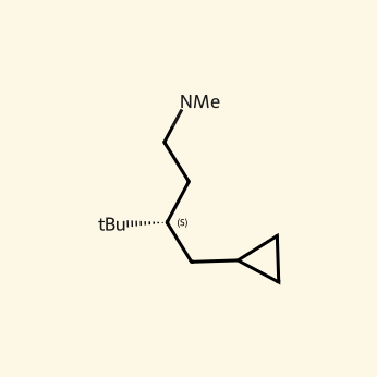 CNCC[C@H](CC1CC1)C(C)(C)C